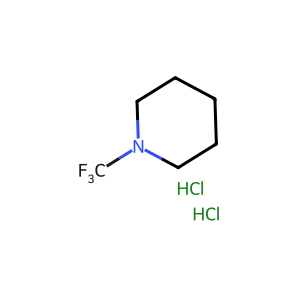 Cl.Cl.FC(F)(F)N1CCCCC1